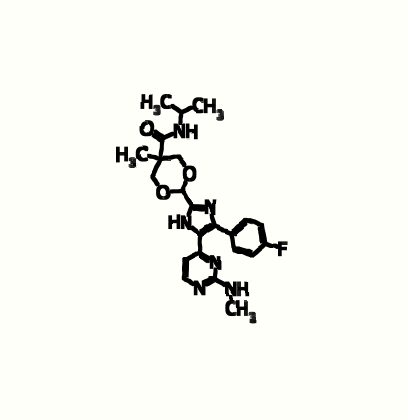 CNc1nccc(-c2[nH]c(C3OCC(C)(C(=O)NC(C)C)CO3)nc2-c2ccc(F)cc2)n1